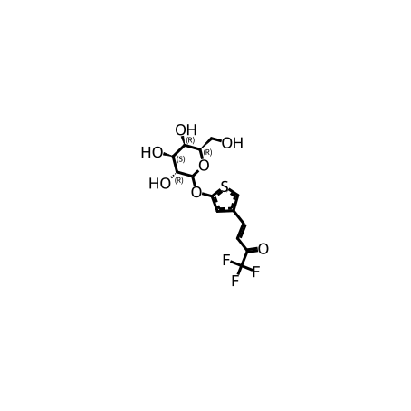 O=C(C=Cc1csc(OC2O[C@H](CO)[C@H](O)[C@H](O)[C@H]2O)c1)C(F)(F)F